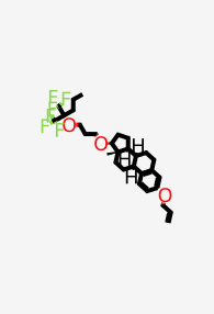 C=CCOc1ccc2c(c1)CC[C@@H]1[C@@H]2CC[C@]2(C)[C@@H](OCCCOC(CCC)(C(F)(F)F)C(F)(F)F)CC[C@@H]12